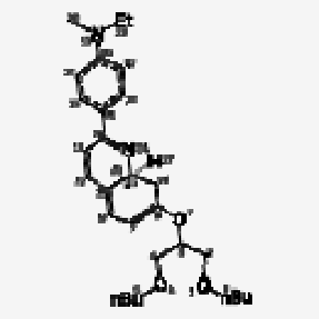 CCCCOCC(COCCCC)OC1=CC=C2C=CC(c3ccc(N(C)CC)cc3)=N[C@H]2C1